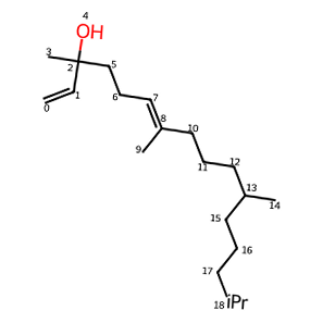 C=CC(C)(O)CC/C=C(\C)CCCC(C)CCCC(C)C